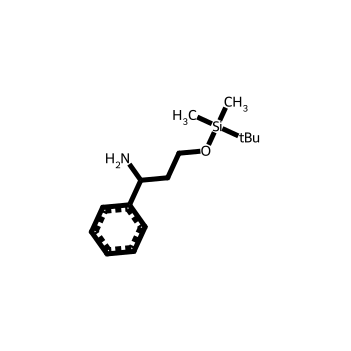 CC(C)(C)[Si](C)(C)OCCC(N)c1ccccc1